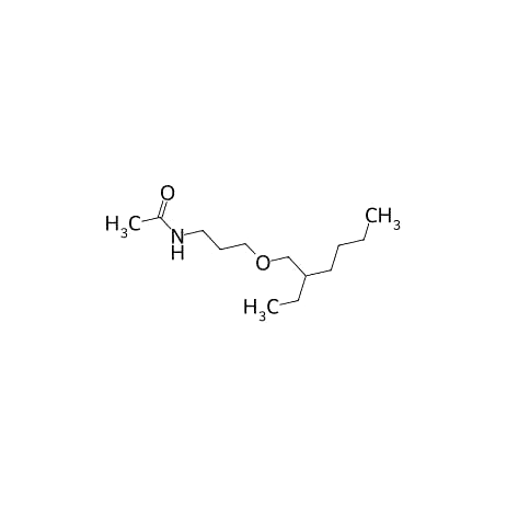 CCCCC(CC)COCCCNC(C)=O